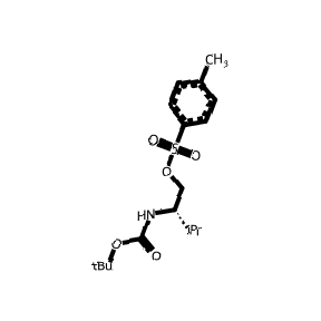 Cc1ccc(S(=O)(=O)OC[C@@H](NC(=O)OC(C)(C)C)C(C)C)cc1